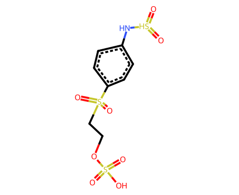 O=[SH](=O)Nc1ccc(S(=O)(=O)CCOS(=O)(=O)O)cc1